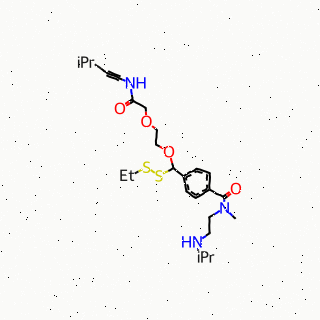 CCSSC(OCCOCC(=O)NC#CC(C)C)c1ccc(C(=O)N(C)CCNC(C)C)cc1